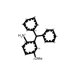 COc1ccc(N)c(C(c2ccccc2)c2ccccc2)c1